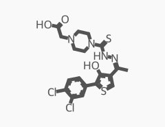 C/C(=N/NC(=S)N1CCN(CC(=O)O)CC1)c1csc(-c2ccc(Cl)c(Cl)c2)c1O